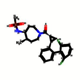 C[C@@H]1CCN(C(=O)[C@@H]2C[C@H]2c2ccccc2-c2c(F)cccc2F)CC[C@@H]1NS(C)(=O)=O